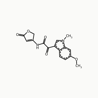 COc1ccc2c(C(=O)C(=O)NC3=CC(=O)OC3)cn(C)c2c1